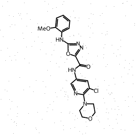 COc1ccccc1Nc1nnc(C(=O)Nc2cnc(N3CCOCC3)c(Cl)c2)o1